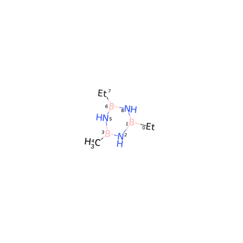 CCB1NB(C)NB(CC)N1